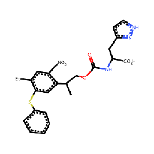 CCc1cc([N+](=O)[O-])c(C(C)COC(=O)NC(Cc2cc[nH]n2)C(=O)O)cc1Sc1ccccc1